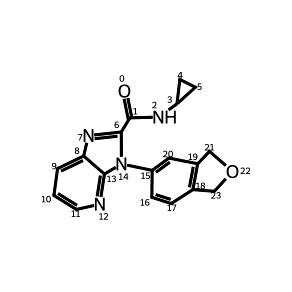 O=C(NC1CC1)c1nc2cccnc2n1-c1ccc2c(c1)COC2